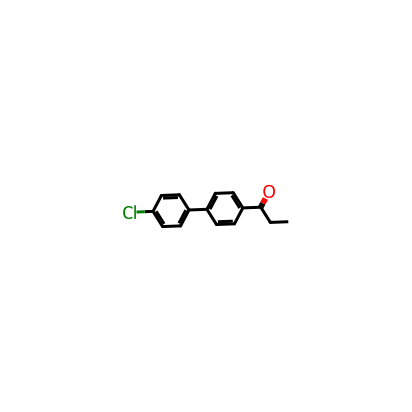 CCC(=O)c1ccc(-c2ccc(Cl)cc2)cc1